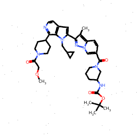 COCC(=O)N1CCC(c2nccc3cc(-c4nn5cc(C(=O)N6CCCC(NC(=O)OC(C)(C)C)C6)ccc5c4C)n(CC4CC4)c23)CC1